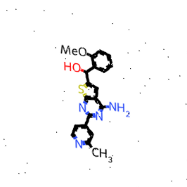 COc1ccccc1C(O)c1cc2c(N)nc(-c3ccnc(C)c3)nc2s1